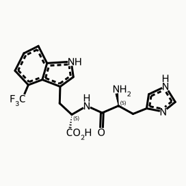 N[C@@H](Cc1c[nH]cn1)C(=O)N[C@@H](Cc1c[nH]c2cccc(C(F)(F)F)c12)C(=O)O